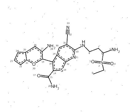 CCS(=O)(=O)C(N)CCNc1nc2sc(C(N)=O)c(-c3oc4cccc-4cc3N)c2cc1C#N